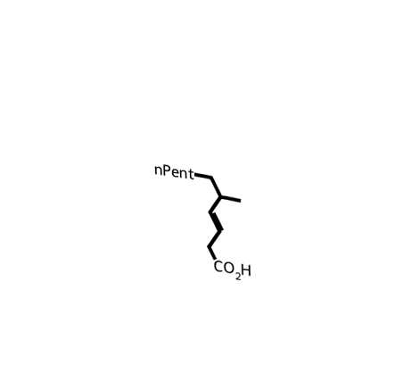 CCCCCCC(C)C=CCC(=O)O